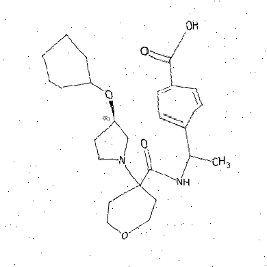 CC(NC(=O)C1(N2CC[C@@H](OC3CCCCC3)C2)CCOCC1)c1ccc(C(=O)O)cc1